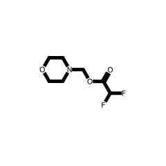 O=C(OCN1CCOCC1)C(F)F